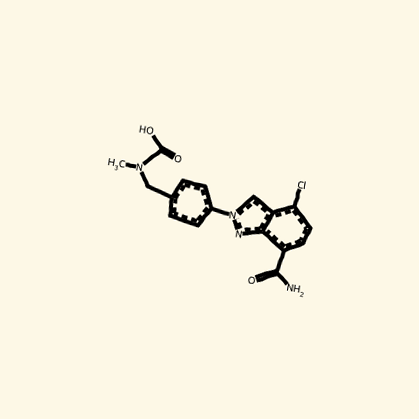 CN(Cc1ccc(-n2cc3c(Cl)ccc(C(N)=O)c3n2)cc1)C(=O)O